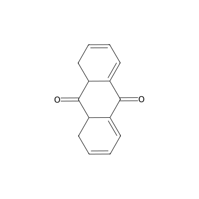 O=C1C2=CC=CCC2C(=O)C2CC=CC=C12